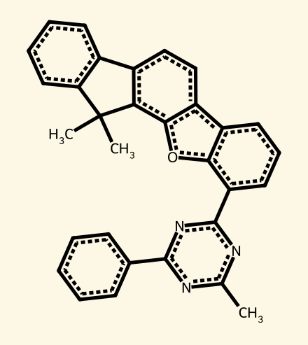 Cc1nc(-c2ccccc2)nc(-c2cccc3c2oc2c4c(ccc23)-c2ccccc2C4(C)C)n1